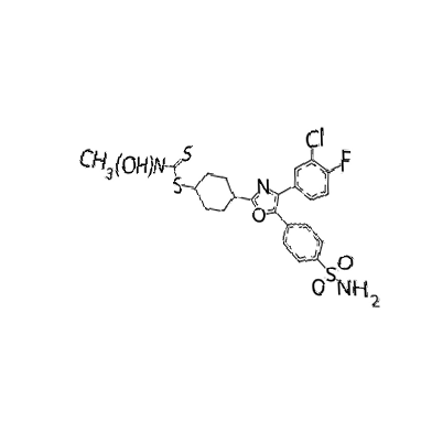 CN(O)C(=S)SC1CCC(c2nc(-c3ccc(F)c(Cl)c3)c(-c3ccc(S(N)(=O)=O)cc3)o2)CC1